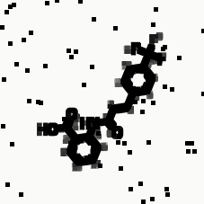 O=C(C=Cc1ccc(C(F)(F)F)cc1)Nc1ccccc1C(=O)O